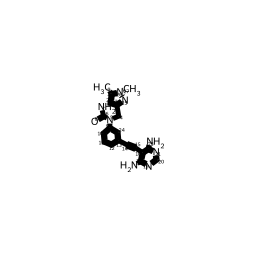 Cc1cc(CN(C(N)=O)c2cccc(C#Cc3c(N)ncnc3N)c2)nn1C